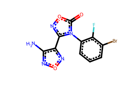 Nc1nonc1-c1noc(=O)n1-c1cccc(Br)c1F